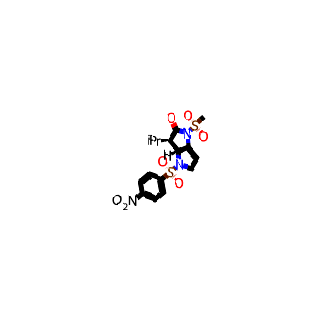 CC(C)[C@H]1C(=O)N(S(C)(=O)=O)C2=CCN(S(=O)(=O)c3ccc([N+](=O)[O-])cc3)[C@@H]21